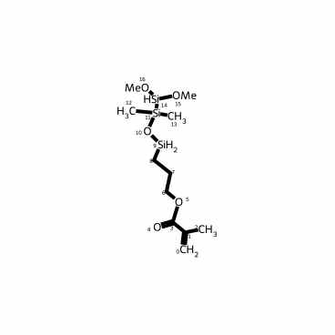 C=C(C)C(=O)OCCC[SiH2]O[Si](C)(C)[SiH](OC)OC